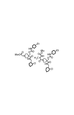 CCc1ccc(NC(=O)OCC2(C(=O)NCc3ccccc3Cl)CCN(C(=O)[C@H](C)NC(=O)OC(C)(C)C)CC2)cc1.CCc1ccc(NC(=O)OCC2(C(=O)NCc3ccccc3Cl)CCN(CC(=O)OC)CC2)cc1